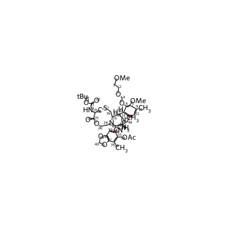 COCCOCOc1c(OC)c(C)cc2c1[C@@H]1[C@@H]3CSCC(NC(=O)OC(C)(C)C)C(=O)OC[C@@H](c4c(C)c(OC(C)=O)c(C)c5c4OCO5)N3[C@@H](C#N)[C@@H](C2)N1C